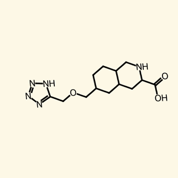 O=C(O)C1CC2CC(COCc3nnn[nH]3)CCC2CN1